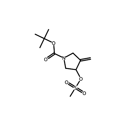 C=C1CN(C(=O)OC(C)(C)C)CC1OS(C)(=O)=O